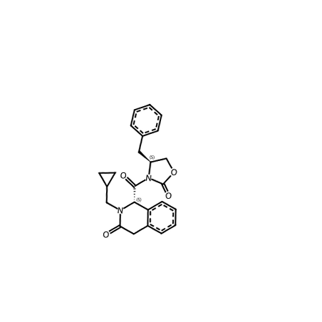 O=C1Cc2ccccc2[C@@H](C(=O)N2C(=O)OC[C@@H]2Cc2ccccc2)N1CC1CC1